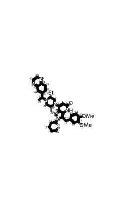 CC[C@@H]1CN(c2cc(=O)[nH]c3c(Cc4ccc(OC)c(OC)c4)n(C4CCCCO4)nc23)[C@@H](C)CN1C(C)c1ccc2nccnc2c1